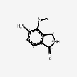 COc1c(N)ccc2c1CNC2=O